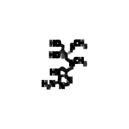 CSC[C@H](CN(C)Cc1c[nH]c2c(N)ncnc12)[C@H](O)CO